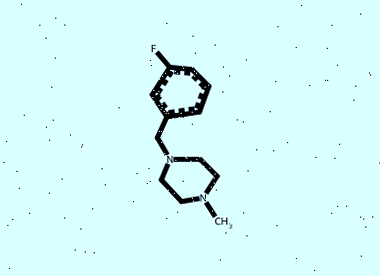 CN1CCN(Cc2cccc(F)c2)CC1